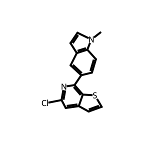 Cn1ccc2cc(-c3nc(Cl)cc4ccsc34)ccc21